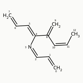 C=C/C=N\C(=C/C=C)C(=C)/C=C\C